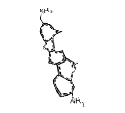 NCc1ccc2c(c1)sc1cc3c(cc12)sc1cc(N)ccc13